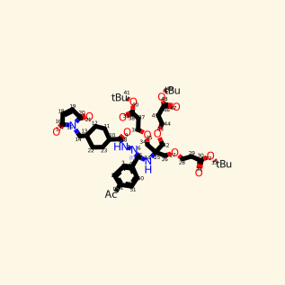 CC(=O)c1ccc(/C(=N\NC(=O)C2CCC(CN3C(=O)C=CC3=O)CC2)NC(COCCC(=O)OC(C)(C)C)(COCCC(=O)OC(C)(C)C)COCCC(=O)OC(C)(C)C)cc1